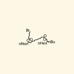 CCCCCCCCCC(CCCCCCCCC(=O)OCC(CCCC)CCCCCC)OC(=O)CCCCBr